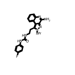 CCCn1nc2c(N)nc3ccccc3c2c1CCNC(=O)Nc1ccc(F)cc1